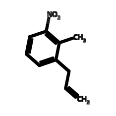 C=CCc1cccc([N+](=O)[O-])c1C